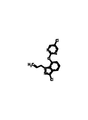 C=CCn1nc(Cl)c2cccc(Oc3ncc(Cl)cn3)c21